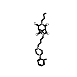 CCCCN1C(=O)C2C(=O)N(CCCCN3CCN(c4ccccc4C)CC3)C(=O)C(C1=O)C2(C)C